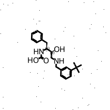 CC(C)(C)c1cccc(CNC[C@@H](O)[C@H](Cc2ccccc2)NC(=O)O)c1